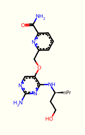 CCC[C@@H](CCO)Nc1nc(N)ncc1OCc1cccc(C(N)=O)n1